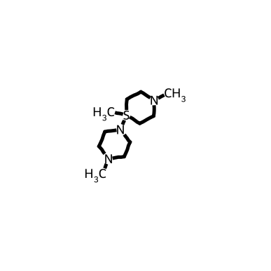 CN1CCN(S2(C)CCN(C)CC2)CC1